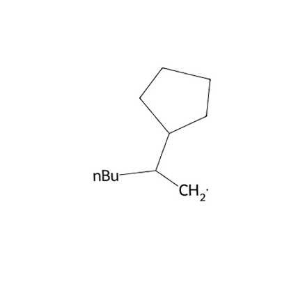 [CH2]C(CCCC)C1CCCC1